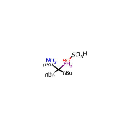 CCCCC(P)(CCCC)CCCC.N.O=S(=O)(O)O